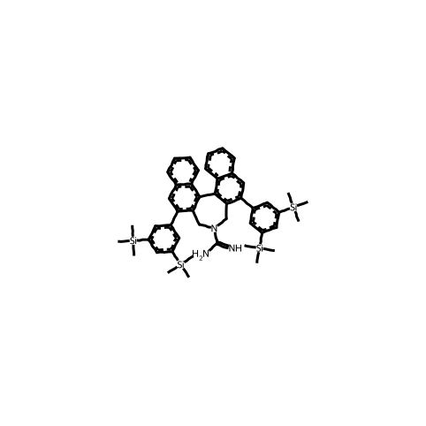 C[Si](C)(C)c1cc(-c2cc3ccccc3c3c2CN(C(=N)N)Cc2c(-c4cc([Si](C)(C)C)cc([Si](C)(C)C)c4)cc4ccccc4c2-3)cc([Si](C)(C)C)c1